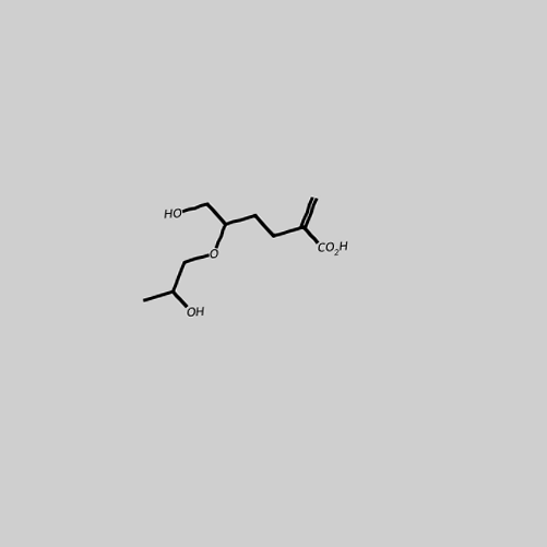 C=C(CCC(CO)OCC(C)O)C(=O)O